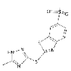 Cc1nc(Sc2nc3ccc(S(C)(=O)=O)cc3s2)n[nH]1